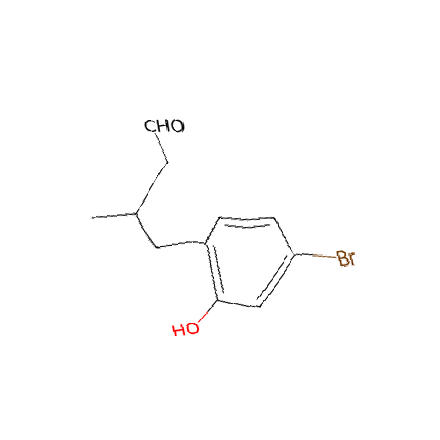 CC(CC=O)Cc1ccc(Br)cc1O